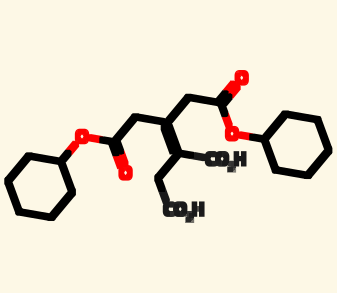 O=C(O)CC(C(=O)O)=C(CC(=O)OC1CCCCC1)CC(=O)OC1CCCCC1